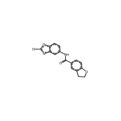 O=C(Nc1ccc2oc(Cl)nc2c1)c1ccc2c(c1)CCO2